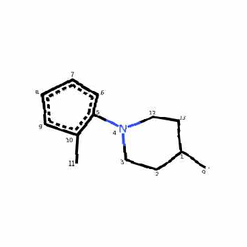 [CH2]C1CCN(c2ccccc2C)CC1